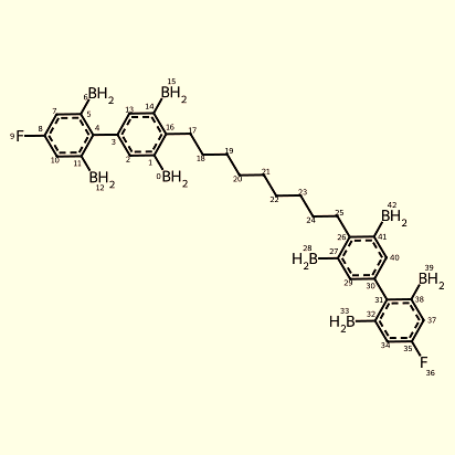 Bc1cc(-c2c(B)cc(F)cc2B)cc(B)c1CCCCCCCCCc1c(B)cc(-c2c(B)cc(F)cc2B)cc1B